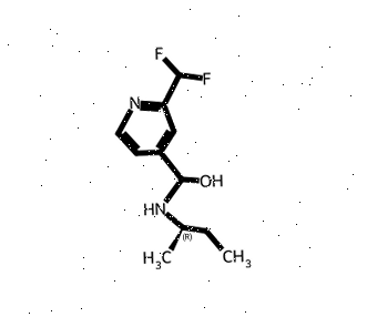 CC[C@@H](C)NC(O)c1ccnc(C(F)F)c1